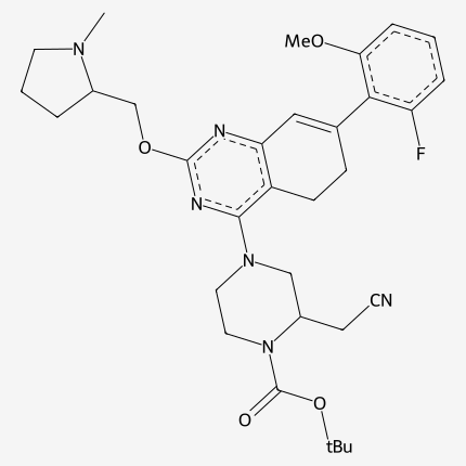 COc1cccc(F)c1C1=Cc2nc(OCC3CCCN3C)nc(N3CCN(C(=O)OC(C)(C)C)C(CC#N)C3)c2CC1